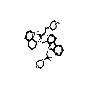 O=C(Cn1c2ccccc2c2ccnc(CN(C(=O)CCN3CCNCC3)[C@H]3CCCc4cccnc43)c21)N1CCOCC1